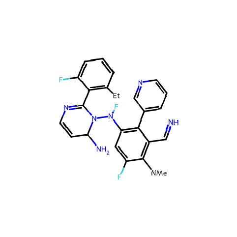 CCc1cccc(F)c1C1=NC=CC(N)N1N(F)c1cc(F)c(NC)c(C=N)c1-c1cccnc1